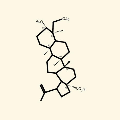 C=C(C)C1CC[C@]2(C(=O)O)CC[C@]3(C)C(CCC4[C@@]5(C)CC[C@H](OC(C)=O)[C@@](C)(COC(C)=O)C5CC[C@]43C)C12